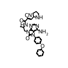 CC(Cn1c(=O)n(-c2ccc(Oc3ccccc3)cc2)c2c(N)ncnc21)NC(=O)C(C#N)=CC1CCCN1